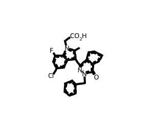 Cc1c(-c2nn(Cc3ccccc3)c(=O)c3ccccc23)c2cc(Cl)cc(F)c2n1CC(=O)O